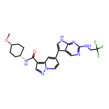 CO[C@H]1CC[C@H](NC(=O)c2cnn3ccc(-c4c[nH]c5nc(NCC(F)(F)F)ncc45)cc23)CC1